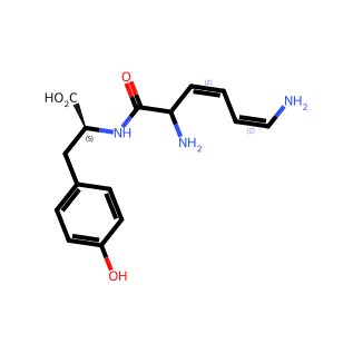 N/C=C\C=C/C(N)C(=O)N[C@@H](Cc1ccc(O)cc1)C(=O)O